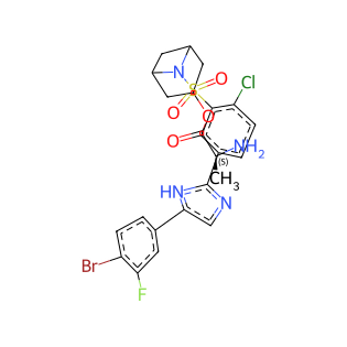 C[C@H](N)C(=O)OC1CC2CC(C1)N2S(=O)(=O)c1cc(-c2ncc(-c3ccc(Br)c(F)c3)[nH]2)ccc1Cl